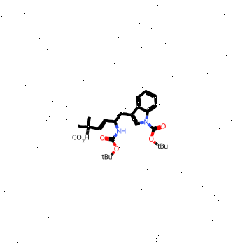 CC(C)(C)OC(=O)NC(/C=C/C(C)(C)C(=O)O)Cc1cn(C(=O)OC(C)(C)C)c2ccccc12